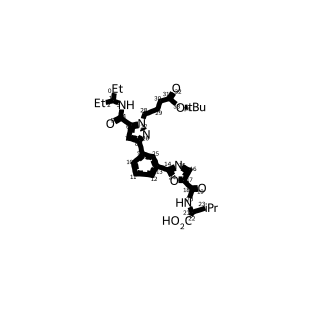 CCC(CC)NC(=O)c1cc(-c2cccc(-c3ncc(C(=O)NC(C(=O)O)C(C)C)o3)c2)nn1CCCC(=O)OC(C)(C)C